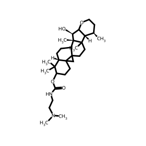 C[C@@H]1CCOC2[C@H]1C1(C)CCC34CC35CCC(OC(=O)NCCN(C)C)C(C)(C)[C@@H]5CCC4[C@]1(C)[C@H]2O